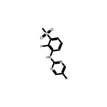 Cc1cnc(Nc2cccc(S(C)(=O)=O)c2F)nc1